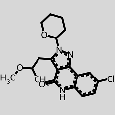 COC(C)Cc1c2c(=O)[nH]c3ccc(Cl)cc3c2nn1C1CCCCO1